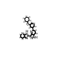 c1cnc2[nH]c(-c3n[nH]c4ccc(-c5cncc(OC6CCCCC6)c5)nc34)nc2c1